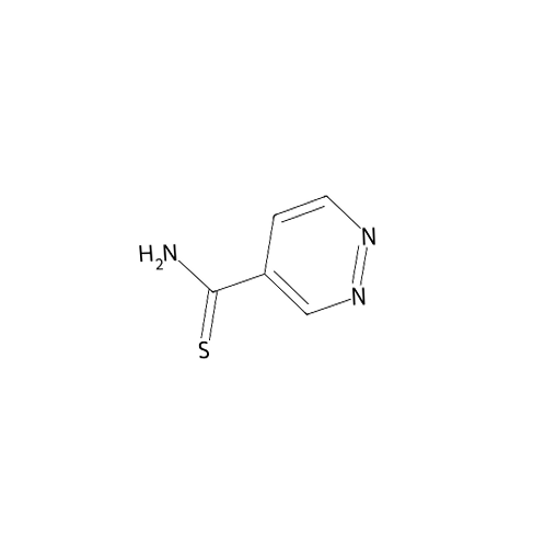 NC(=S)c1ccnnc1